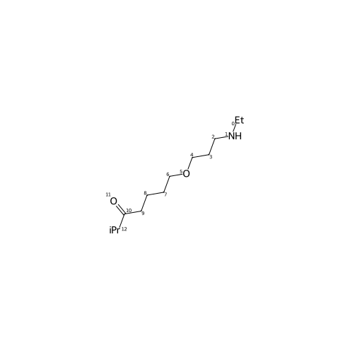 CCNCCCOCCCCC(=O)C(C)C